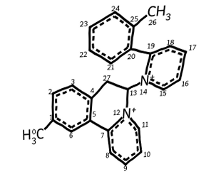 Cc1ccc2c(c1)-c1cccc[n+]1C([n+]1ccccc1-c1ccccc1C)C2